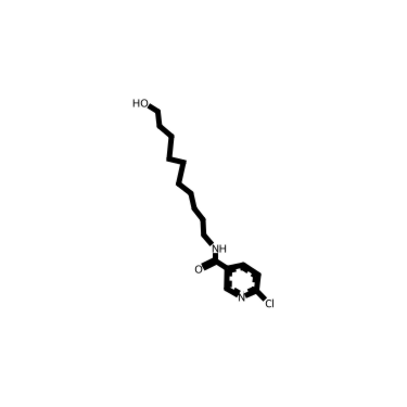 O=C(NCCCCCCCCCCO)c1ccc(Cl)nc1